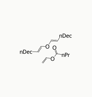 C=COC(=O)CCC.CCCCCCCCCCC=COC=CCCCCCCCCCC